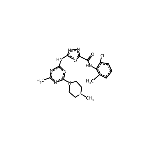 Cc1nc(Nc2nnc(C(=O)Nc3c(C)cccc3Cl)o2)nc(N2CCN(C)CC2)n1